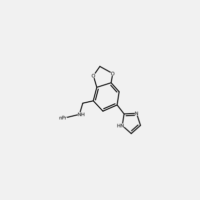 CCCNCc1cc(-c2ncc[nH]2)cc2c1OCO2